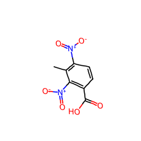 Cc1c([N+](=O)[O-])ccc(C(=O)O)c1[N+](=O)[O-]